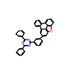 C1=CC(c2nc(-c3ccccc3)nc(-c3cccc(-c4cc5oc6cccc7c8ccccc8c(c4)c5c67)c3)n2)=CCC1